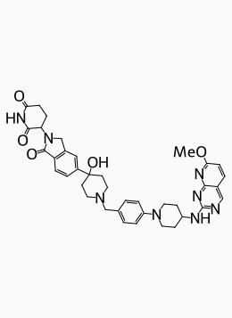 COc1ccc2cnc(NC3CCN(c4ccc(CN5CCC(O)(c6ccc7c(c6)CN(C6CCC(=O)NC6=O)C7=O)CC5)cc4)CC3)nc2n1